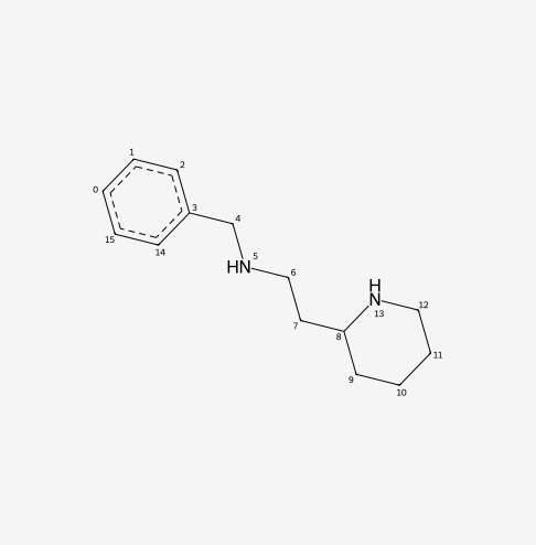 c1ccc(CNCCC2CCCCN2)cc1